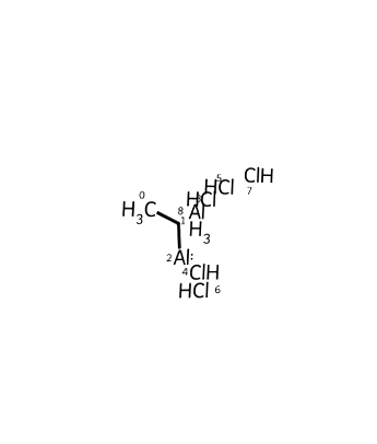 C[CH2][Al].Cl.Cl.Cl.Cl.Cl.[AlH3]